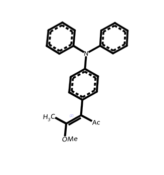 CO/C(C)=C(\C(C)=O)c1ccc(N(c2ccccc2)c2ccccc2)cc1